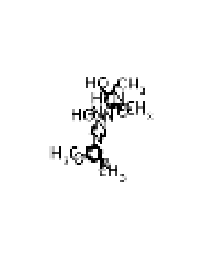 CCc1nc(OC)c(N=C(NO)N2CCN(c3cc(OC)cc(OC)c3)CC2)cc1CO